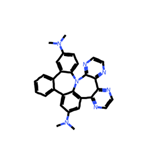 CN(C)c1ccc2c(c1)-c1ccccc1-c1cc(N(C)C)cc3c1N2c1nccnc1-c1nccnc1-3